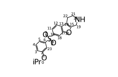 CC(C)Oc1cccc(S(=O)(=O)c2ccc3c4c(oc3c2)CNCC4)c1